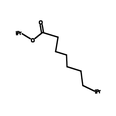 CC(C)CCCCCCC(=O)OC(C)C